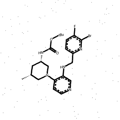 C[C@@H]1C[C@H](NC(=O)OC(C)(C)C)CN(c2ccncc2NCc2ccc(F)c(Br)n2)C1